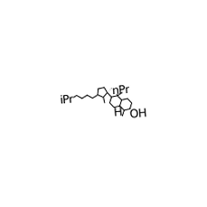 CCCC1(C)C2CC[C@H](O)C(C)[C@@H]2CCC1[C@]1(C)CCC(CCCCC(C)C)C1C